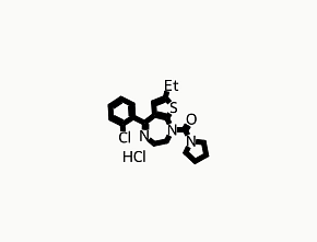 CCc1cc2c(s1)N(C(=O)N1CCCC1)CCN=C2c1ccccc1Cl.Cl